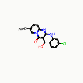 COc1ccc2nc(Nc3cccc(Cl)c3)c(CO)c(=O)n2c1